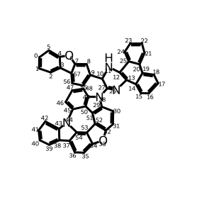 c1ccc2c(c1)oc1cc(C3Nc4c(c5ccccc5c5ccccc45)N=C3n3c4ccc5oc6ccc7c8ccccc8n8c9cccc3c9c4c5c6c78)ccc12